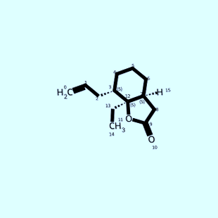 C=CC[C@@H]1CCC[C@H]2CC(=O)O[C@@]12CC